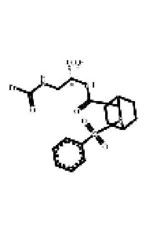 CCC(=O)NC[C@@H](NC(=O)C1C2CCC(CC2)N1S(=O)(=O)c1ccccc1)C(=O)O